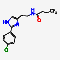 O=C(CCC(F)(F)F)NCCc1c[nH]c(-c2ccc(Cl)cc2)n1